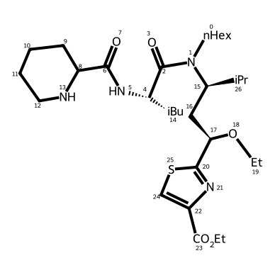 CCCCCCN(C(=O)[C@@H](NC(=O)C1CCCCN1)[C@@H](C)CC)[C@H](C[C@@H](OCC)c1nc(C(=O)OCC)cs1)C(C)C